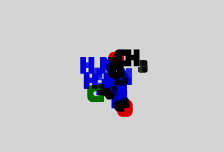 COc1cc2c(cc1N)C(N)(c1nc(Cl)cc(N3CCOCC3)n1)NC=N2